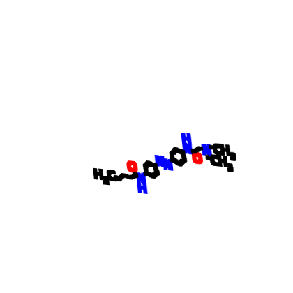 C=CCCC(=O)Nc1ccc(/N=N/c2ccc(NC(=O)CN(CC)CC)cc2)cc1